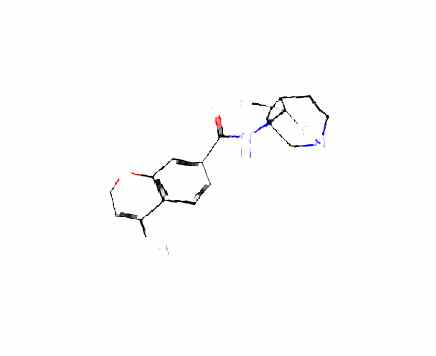 CC1=CCOc2cc(C(=O)N[C@H]3CN4CCC3CC4)ccc21